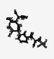 CC(C)(C)OC(=O)Nc1cccc(-c2cc(C(=O)O)c(Cl)cc2F)n1